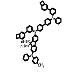 CCCCCCC1(CCCCCC)c2cc(N(c3ccccc3)c3ccc(C)cc3)ccc2-c2ccc(N(c3ccc(-c4ccc(N(c5ccccc5)c5cccc(-c6ccc7c(c6)CC7)c5)cc4)cc3)c3cccc(-c4ccc5c(c4)CC5)c3)cc21